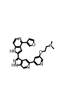 CN(C)CCOc1cncc(-c2cc3c(-c4cc5c(-c6ccoc6)nccc5[nH]4)n[nH]c3cn2)c1